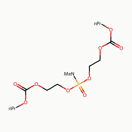 CCCOC(=O)OCCOP(=O)(NC)OCCOC(=O)OCCC